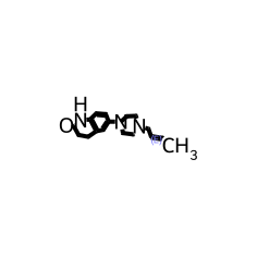 C/C=C/CN1CCN(c2ccc3c(c2)CCC(=O)N3)CC1